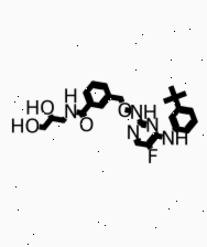 CC(C)(C)c1cccc(Nc2nc(NOCc3cccc(C(=O)NCC(O)CO)c3)ncc2F)c1